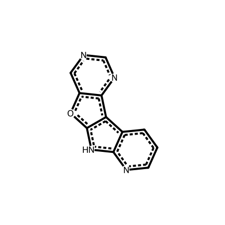 c1cnc2[nH]c3oc4cncnc4c3c2c1